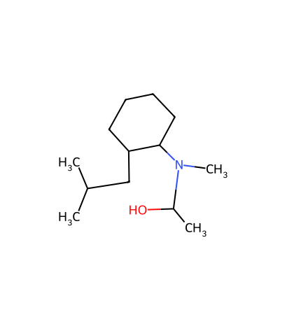 CC(C)CC1CCCCC1N(C)C(C)O